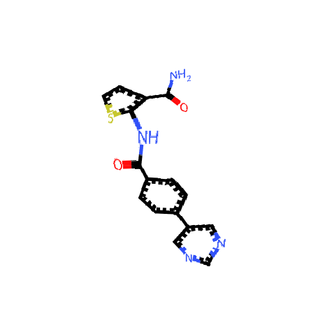 NC(=O)c1ccsc1NC(=O)c1ccc(-c2cncnc2)cc1